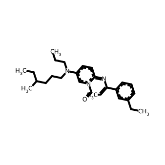 C/C=C(\N=c1\ccc(N(CCC)CCCC(C)CC)cn1C=O)c1cccc(CC)c1